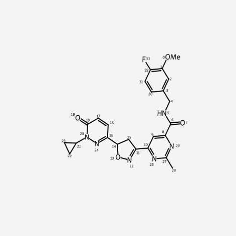 COc1cc(CNC(=O)c2cc(C3=NOC(c4ccc(=O)n(C5CC5)n4)C3)nc(C)n2)ccc1F